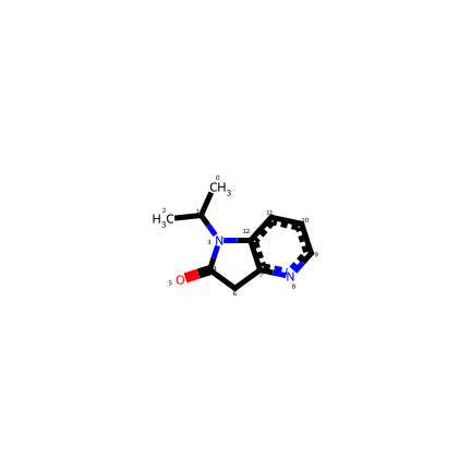 CC(C)N1C(=O)Cc2ncccc21